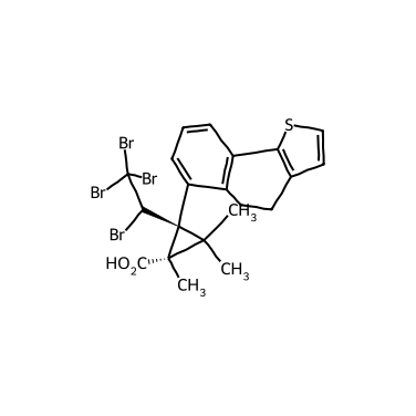 CC1(C)[C@](C)(C(=O)O)[C@@]1(c1cccc2c1CCc1ccsc1-2)C(Br)C(Br)(Br)Br